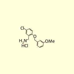 COc1cccc(COc2ccc(Cl)cc2CN)c1.Cl